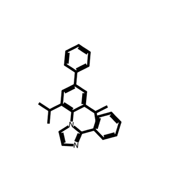 CC(C)c1cc(-c2ccccc2)cc(C(C)C)c1-n1ccnc1-c1ccccc1